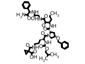 CCCC(NC(=O)[C@@H]1C[C@@H](OCc2ccccc2)CN1C(=O)[C@H](CCCNC(=O)C1(C(=O)O)CC1)NC(=O)OCC(C)C)C(=O)C(=O)NCC(=O)N[C@H](C(N)=O)c1ccccc1